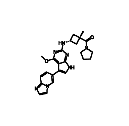 COc1nc(N[C@H]2C[C@@](C)(C(=O)N3CCCC3)C2)nc2[nH]cc(-c3ccc4nccn4c3)c12